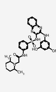 COc1cc(O)cc(Nc2nc3ccccc3nc2NS(=O)(=O)c2cccc(NC(=O)CN3C(C)CCCC3C)c2)c1